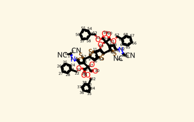 N#CC(C#N)=Nc1cc2c(s1)-c1sc3c4c(sc3c1OC2(C(=O)OCc1ccccc1)C(=O)OCc1ccccc1)-c1sc(N=C(C#N)C#N)cc1C(C(=O)OCc1ccccc1)(C(=O)OCc1ccccc1)O4